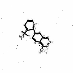 CC(C)(O)c1cccnc1-c1ccc2c(NC(F)(F)F)nncc2c1